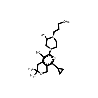 CC(=O)OCCCN1CCN(c2nc(C3CC3)c3c(c2C#N)CC(C)(C)OC3)C[C@H]1C(C)C